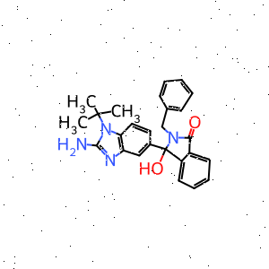 CC(C)(C)n1c(N)nc2cc(C3(O)c4ccccc4C(=O)N3Cc3ccccc3)ccc21